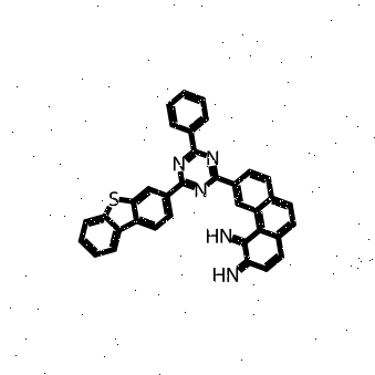 N=C1C=Cc2ccc3ccc(-c4nc(-c5ccccc5)nc(-c5ccc6c(c5)sc5ccccc56)n4)cc3c2C1=N